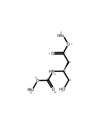 CCCCOC(=O)C[C@@H](CO)NC(=O)OC(C)(C)C